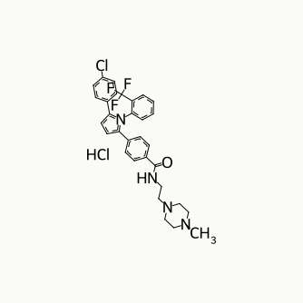 CN1CCN(CCNC(=O)c2ccc(-c3ccc(-c4ccc(Cl)cc4)n3-c3ccccc3C(F)(F)F)cc2)CC1.Cl